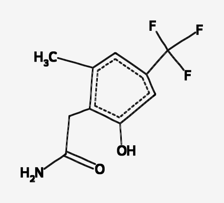 Cc1cc(C(F)(F)F)cc(O)c1CC(N)=O